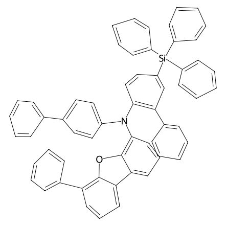 c1ccc(-c2ccc(N(c3ccc([Si](c4ccccc4)(c4ccccc4)c4ccccc4)cc3-c3ccccc3)c3cccc4c3oc3c(-c5ccccc5)cccc34)cc2)cc1